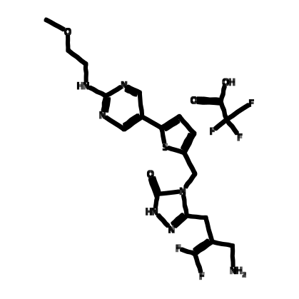 COCCNc1ncc(-c2ccc(Cn3c(CC(CN)=C(F)F)n[nH]c3=O)s2)cn1.O=C(O)C(F)(F)F